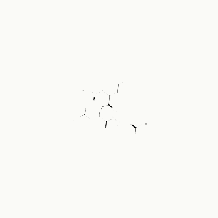 CC(=O)O.CNC(=O)[C@H](CC(C)C)NC(=O)C(CC(C)C)C[PH](=O)OC